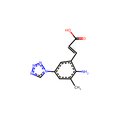 Cc1cc(-n2cnnn2)cc(/C=C/C(=O)O)c1N